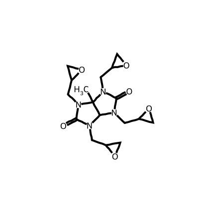 CC12C(N(CC3CO3)C(=O)N1CC1CO1)N(CC1CO1)C(=O)N2CC1CO1